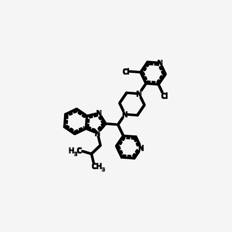 CC(C)Cn1c(C(c2cccnc2)N2CCN(c3c(Cl)cncc3Cl)CC2)nc2ccccc21